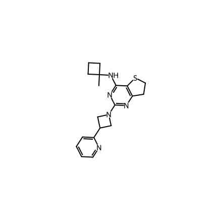 CC1(Nc2nc(N3CC(c4ccccn4)C3)nc3c2SCC3)CCC1